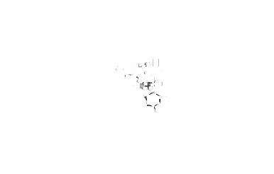 BC1OC(CO)C(O)C1OS(=O)(=O)c1ccc(C)cc1